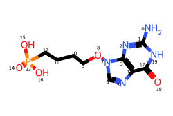 Nc1nc2c(ncn2OCCCCP(=O)(O)O)c(=O)[nH]1